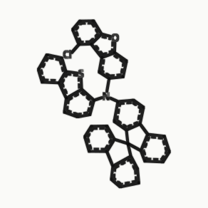 Clc1cccc2oc3ccc(N(c4ccc5c(c4)C4(c6ccccc6-c6ccccc64)c4ccccc4-5)c4cccc5c4sc4ccccc45)cc3c12